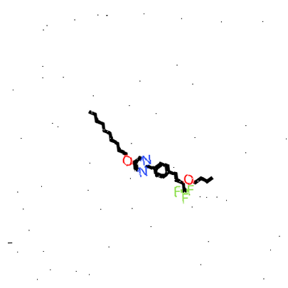 CCCCCCCCCCOc1cnc(-c2ccc(CCC(OCCCC)C(F)(F)F)cc2)nc1